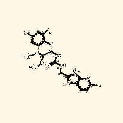 COC(OC)[C@H](Cc1ccc(Cl)cc1Cl)NC(=S)NCc1nc2ccc(F)nc2[nH]1